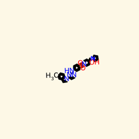 Cc1ccc2c(ccn2-c2ccnc(Nc3ccc(S(=O)(=O)N4CCC(O)(CN5CCCC5)CC4)cc3)n2)c1